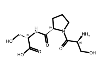 N[C@@H](CO)C(=O)N1CCC[C@H]1C(=O)N[C@@H](CO)C(=O)O